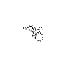 CN1C(=O)[C@@]2(CCOCCCCOc3ccc(-c4cccc(C#N)c4)cc32)N=C1N